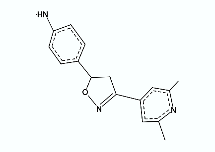 Cc1cc(C2=NOC(c3ccc([NH])cc3)C2)cc(C)n1